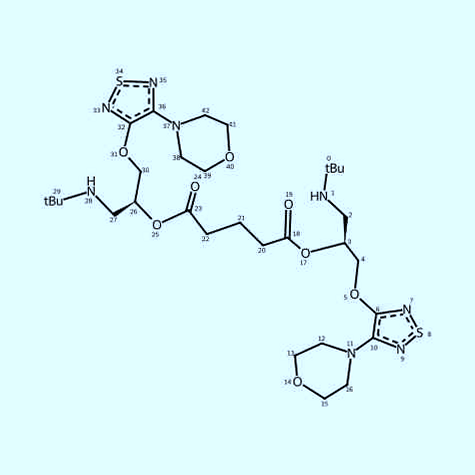 CC(C)(C)NC[C@@H](COc1nsnc1N1CCOCC1)OC(=O)CCCC(=O)O[C@@H](CNC(C)(C)C)COc1nsnc1N1CCOCC1